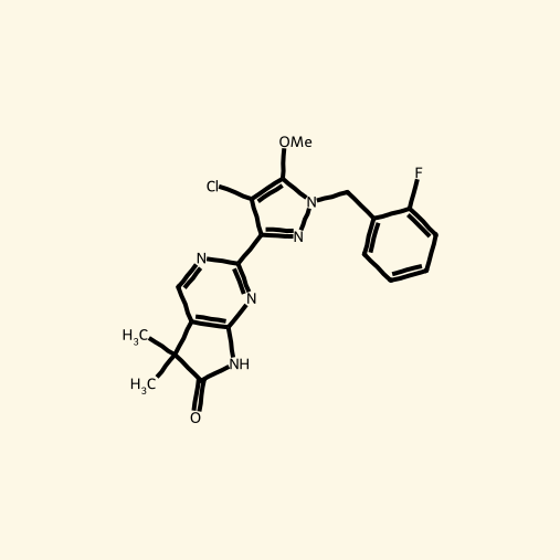 COc1c(Cl)c(-c2ncc3c(n2)NC(=O)C3(C)C)nn1Cc1ccccc1F